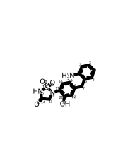 Nc1ccccc1Cc1ccc(N2CC(=O)NS2(=O)=O)c(O)c1